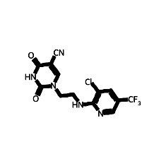 N#Cc1cn(CCNc2ncc(C(F)(F)F)cc2Cl)c(=O)[nH]c1=O